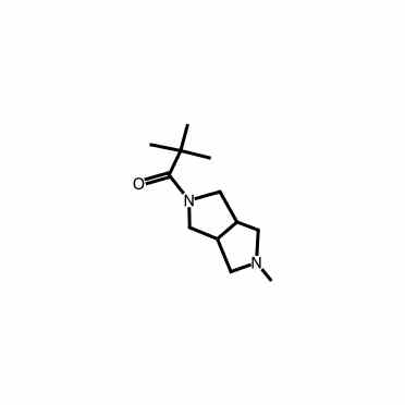 CN1CC2CN(C(=O)C(C)(C)C)CC2C1